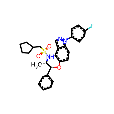 C[C@H](NS(=O)(=O)CC1CCCC1)[C@@H](Oc1ccc2c(cnn2-c2ccc(F)cc2)c1)c1ccccc1